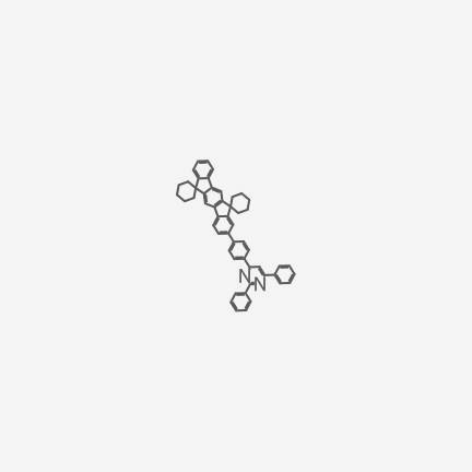 c1ccc(-c2cc(-c3ccc(-c4ccc5c(c4)C4(CCCCC4)c4cc6c(cc4-5)C4(CCCCC4)c4ccccc4-6)cc3)nc(-c3ccccc3)n2)cc1